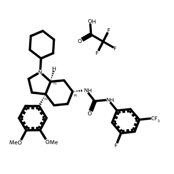 COc1ccc([C@@]23CC[C@@H](NC(=O)Nc4cc(F)cc(C(F)(F)F)c4)C[C@@H]2N(C2CCCCC2)CC3)cc1OC.O=C(O)C(F)(F)F